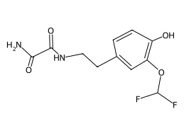 NC(=O)C(=O)NCCc1ccc(O)c(OC(F)F)c1